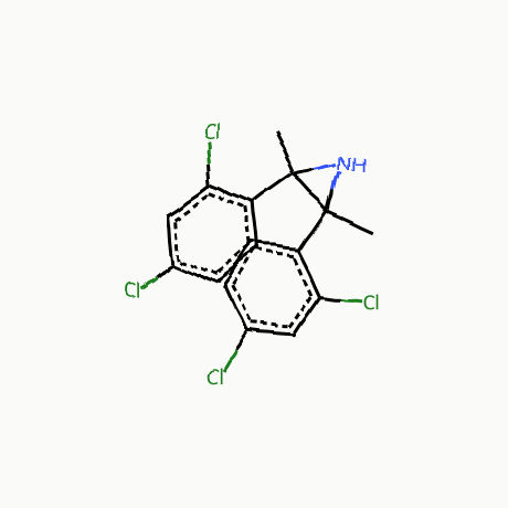 CC1(c2ccc(Cl)cc2Cl)NC1(C)c1ccc(Cl)cc1Cl